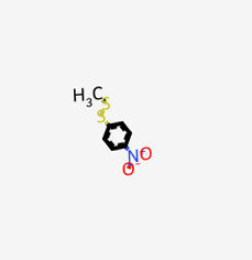 CSSc1ccc([N+](=O)[O-])cc1